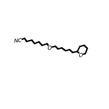 N#CCCCCCCCOCCCCCCC1CCCCO1